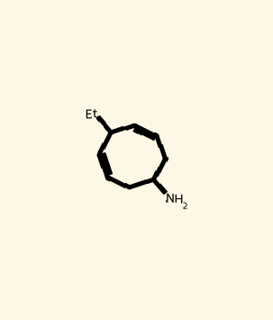 CCC1/C=C\CC(N)C/C=C\1